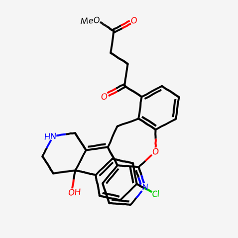 COC(=O)CCC(=O)c1cccc2c1CC(=C1CNCCC1(O)c1ccc(Cl)cc1)c1cccnc1O2